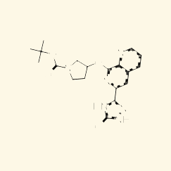 CC(C)(C)OC(=O)N1CCC(Oc2nc(-c3n[nH]c(=O)[nH]3)cc3cccnc23)C1